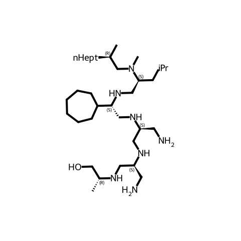 CCCCCCC[C@@H](C)CN(C)[C@H](CN[C@H](CN[C@@H](CN)CN[C@@H](CN)CN[C@H](C)CO)C1CCCCCC1)CC(C)C